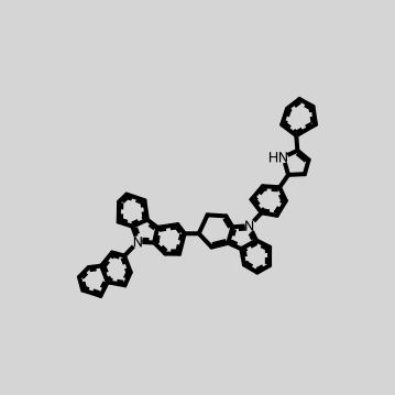 C1=C(c2ccccc2)NC(c2ccc(-n3c4c(c5ccccc53)=CC(c3ccc5c(c3)c3ccccc3n5-c3ccc5ccccc5c3)CC=4)cc2)C1